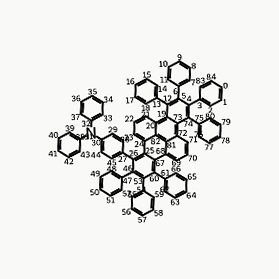 c1ccc(-c2c(-c3ccccc3)c(-c3ccccc3)c3c4cccc5c6c(-c7ccc(N(c8ccccc8)c8ccccc8)cc7)c(-c7ccccc7)c(-c7ccccc7)c(-c7ccccc7)c6c6cccc(c3c2-c2ccccc2)c6c45)cc1